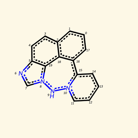 c1cc2ccc3ncn4[nH][n+]5ccccc5c(c1)c2c34